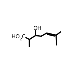 CC(C)=CCC(O)C(C)C(=O)O